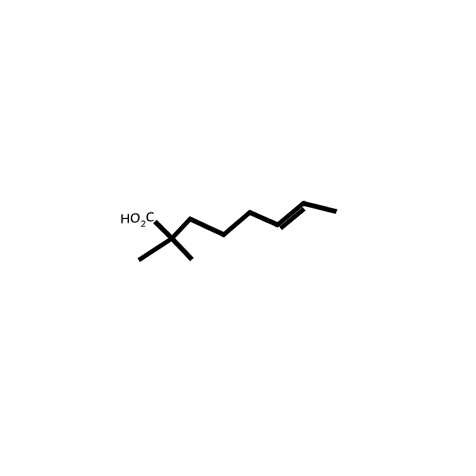 CC=CCCCC(C)(C)C(=O)O